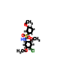 COc1cccc(S(=O)(=O)Nc2cc(OC)c(Cl)cc2OC)c1